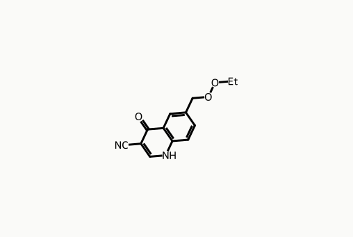 CCOOCc1ccc2[nH]cc(C#N)c(=O)c2c1